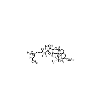 C=C(I)C[C@H](C)CCC(=O)[C@H](O)C1(O)O[C@H]2C(O[Si](C)(C)C(C)(C)C)[C@H]3OC(CC(=O)OC)CC[C@@H]3OC2[C@H]1O